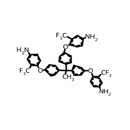 CC(c1ccc(Oc2ccc(N)cc2C(F)(F)F)cc1)(c1ccc(Oc2ccc(N)cc2C(F)(F)F)cc1)c1ccc(Oc2ccc(N)cc2C(F)(F)F)cc1